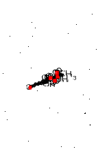 CCC(C(O)CC(C(O)CC(C(O)CCCCCCC[C]=O)[N+](=O)[O-])[N+](=O)[O-])[N+](=O)[O-]